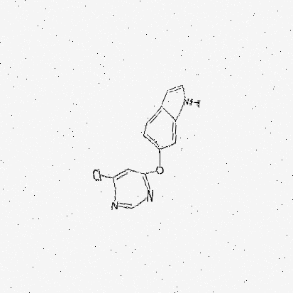 Clc1cc(Oc2ccc3cc[nH]c3c2)ncn1